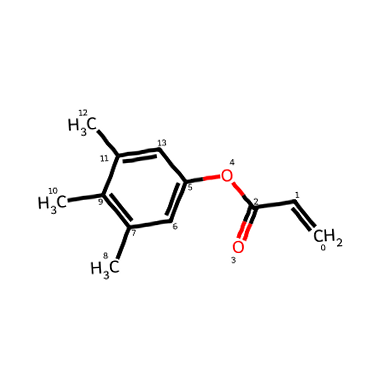 C=CC(=O)Oc1cc(C)c(C)c(C)c1